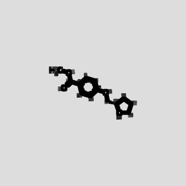 COC(=O)c1ccc(OC[C@@H]2CCCO2)cc1